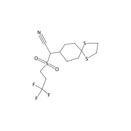 N#CC(C1CCC2(CC1)SCCS2)S(=O)(=O)CCC(F)(F)F